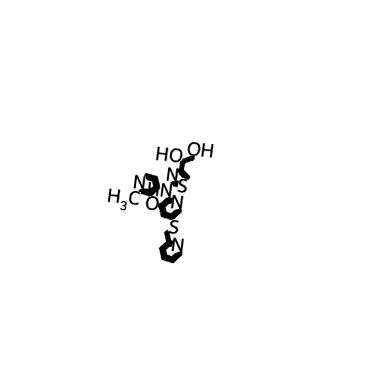 Cc1ncccc1Oc1cc(SCc2ccccn2)cnc1Nc1nc(C(O)CO)cs1